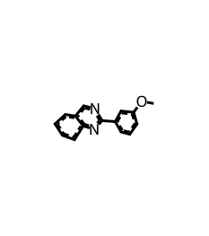 COc1cccc(-c2ncc3ccccc3n2)c1